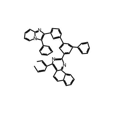 C/C=C\C(=C/C)c1nc(-c2cc(-c3ccccc3)cc(-c3cccc(-c4nc5ccccn5c4-c4ccccc4)c3)c2)nc2c1ccc1ccccc12